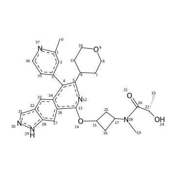 Cc1cc(-c2c(C3CCOCC3)nc(OC3CC(N(C)C(=O)[C@H](C)O)C3)c3cc4[nH]ncc4cc23)ccn1